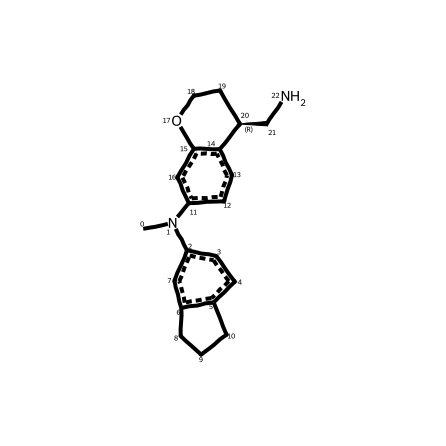 CN(c1ccc2c(c1)CCC2)c1ccc2c(c1)OCC[C@H]2CN